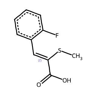 CS/C(=C\c1ccccc1F)C(=O)O